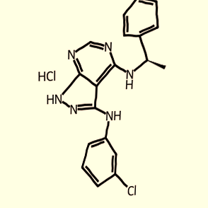 C[C@@H](Nc1ncnc2[nH]nc(Nc3cccc(Cl)c3)c12)c1ccccc1.Cl